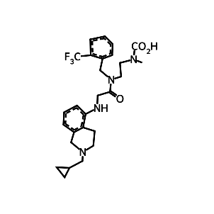 CN(CCN(Cc1ccccc1C(F)(F)F)C(=O)CNc1cccc2c1CCN(CC1CC1)C2)C(=O)O